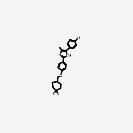 Cc1nc(-c2ccc(OCC3CCC(F)(F)CC3)cc2)[nH]c1-c1ccc(Cl)cc1